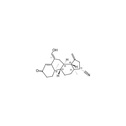 C=C1C[C@H](C#N)[C@@]2(C)CC[C@H]3[C@@H](C/C(=C\O)C4=CC(=O)CC[C@@]43C)[C@H]12